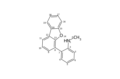 CNc1ccccc1-c1cccc2c1oc1ccccc12